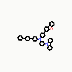 c1ccc(-c2ccc(-c3ccc(N(c4ccc(-c5ccc6c(c5)oc5ccccc56)cc4)c4cccc(-n5c6ccccc6c6ccccc65)c4)cc3)cc2)cc1